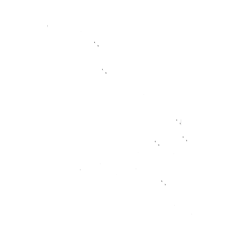 Fc1nc(N2CC3(CC(c4nnc5n4-c4ccc(Cl)cc4CN(C4CC4)C5)C3)C2)ccc1C(F)(F)F